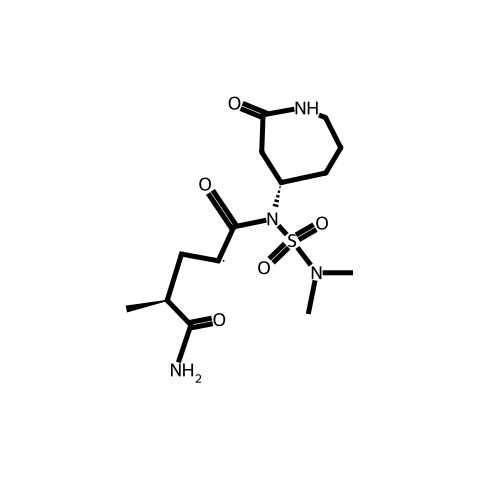 C[C@@H](C[CH]C(=O)N([C@H]1CCCNC(=O)C1)S(=O)(=O)N(C)C)C(N)=O